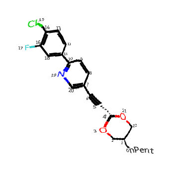 CCCCC[C@H]1CO[C@H](C#Cc2ccc(-c3ccc(Cl)c(F)c3)nc2)OC1